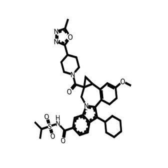 COC1=CC2=C(CC1)c1c(C3CCCCC3)c3ccc(C(=O)NS(=O)(=O)C(C)C)cc3n1CC1(C(=O)N3CCC(c4nnc(C)o4)CC3)CC21